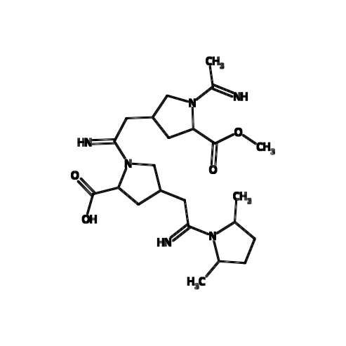 COC(=O)C1CC(CC(=N)N2CC(CC(=N)N3C(C)CCC3C)CC2C(=O)O)CN1C(C)=N